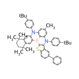 Cc1cc2c3c(c1)N(c1ccc(C(C)(C)C)cc1)c1c(sc4ccc(-c5ccccc5)cc14)B3c1cc3c(cc1N2c1ccc(C(C)(C)C)cc1)C(C)(C)CCC3(C)C